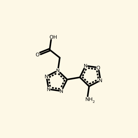 Nc1nonc1-c1nnnn1CC(=O)O